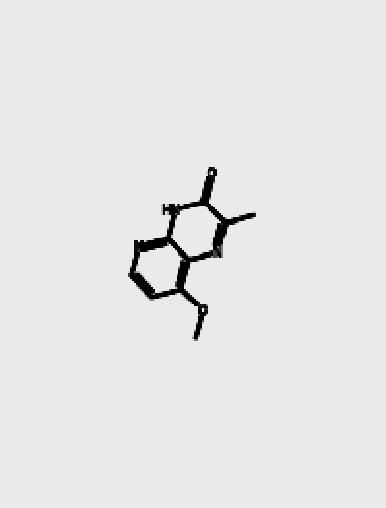 COc1ccnc2[nH]c(=O)c(C)nc12